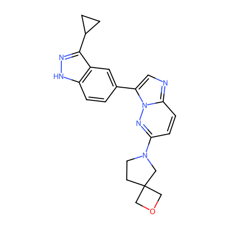 c1cc2[nH]nc(C3CC3)c2cc1-c1cnc2ccc(N3CCC4(COC4)C3)nn12